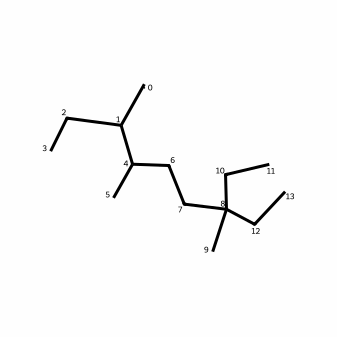 [CH2]C(CC)C(C)CCC(C)(CC)CC